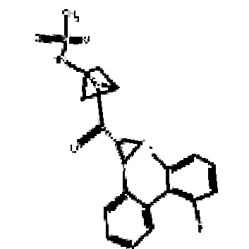 CS(=O)(=O)NC12CC(C1)N(C(=O)[C@@H]1C[C@H]1c1ccccc1-c1c(F)cccc1F)C2